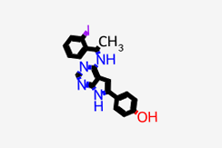 CC(Nc1ncnc2[nH]c(-c3ccc(O)cc3)cc12)c1ccccc1I